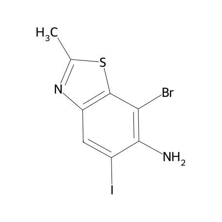 Cc1nc2cc(I)c(N)c(Br)c2s1